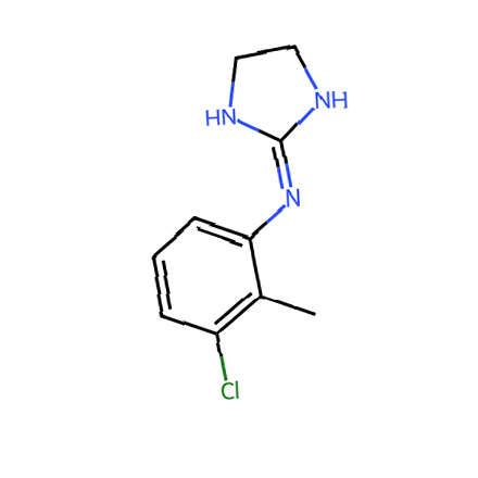 Cc1c(Cl)cccc1N=C1NCCN1